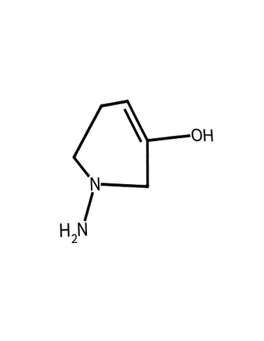 NN1CCC=C(O)C1